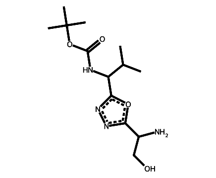 CC(C)C(NC(=O)OC(C)(C)C)c1nnc(C(N)CO)o1